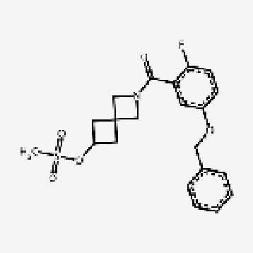 CS(=O)(=O)OC1CC2(C1)CN(C(=O)c1cc(OCc3ccccc3)ccc1F)C2